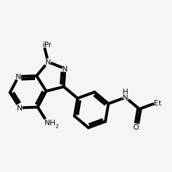 CCC(=O)Nc1cccc(-c2nn(C(C)C)c3ncnc(N)c23)c1